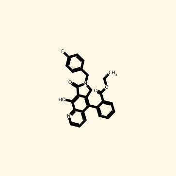 CCOC(=O)c1ccccc1-c1c2c(c(O)c3ncccc13)C(=O)N(Cc1ccc(F)cc1)C2